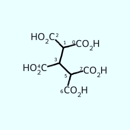 O=C(O)C(C(=O)O)C(C(=O)O)C(C(=O)O)C(=O)O